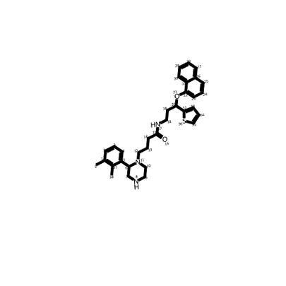 Cc1cccc(C2CNCCN2CCCC(=O)NCCC(Oc2cccc3ccccc23)c2cccs2)c1C